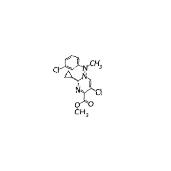 COC(=O)C1=NC(C2CC2)N(N(C)c2cccc(Cl)c2)C=C1Cl